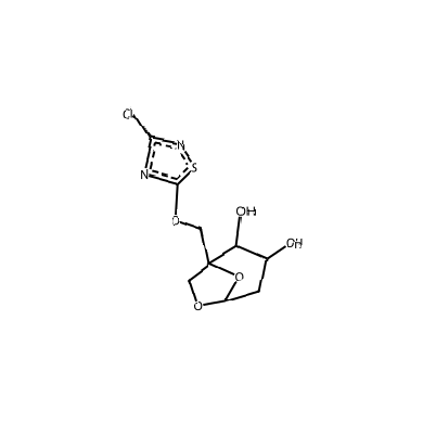 OC1CC2OCC(COc3nc(Cl)ns3)(O2)C1O